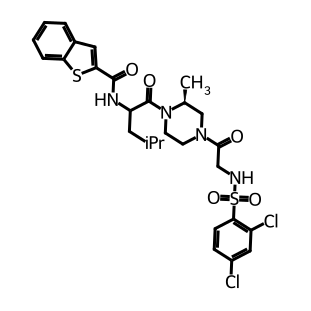 CC(C)CC(NC(=O)c1cc2ccccc2s1)C(=O)N1CCN(C(=O)CNS(=O)(=O)c2ccc(Cl)cc2Cl)C[C@@H]1C